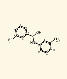 Cc1cccc(C(O)Nc2ccnc(C)c2)c1